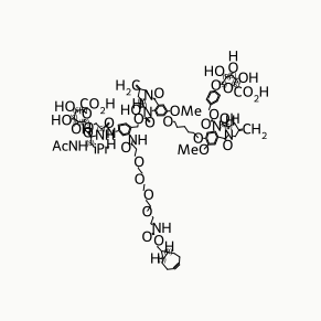 C=C1C[C@H]2[C@H](O)N(C(=O)OCc3ccc(O[C@@H]4O[C@H](C(=O)O)[C@@H](O)[C@H](O)[C@H]4O)cc3)c3cc(OCCCCCOc4cc5c(cc4OC)C(=O)N4CC(=C)C[C@H]4[C@H](O)N5C(=O)OCc4ccc(NC(=O)[C@H](CO[C@@H]5O[C@H](C(=O)O)[C@@H](O)[C@H](O)[C@H]5O)NC(=O)[C@@H](NC(C)=O)C(C)C)cc4NC(=O)CCOCCOCCOCCOCCNC(=O)OCC4[C@H]5CCC#CCC[C@@H]45)c(OC)cc3C(=O)N2C1